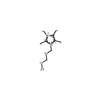 CCOCOCn1c(C)c(C)[n+](C)c1C